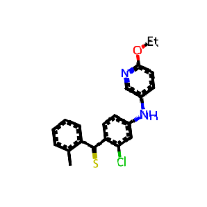 CCOc1ccc(Nc2ccc(C(=S)c3ccccc3C)c(Cl)c2)cn1